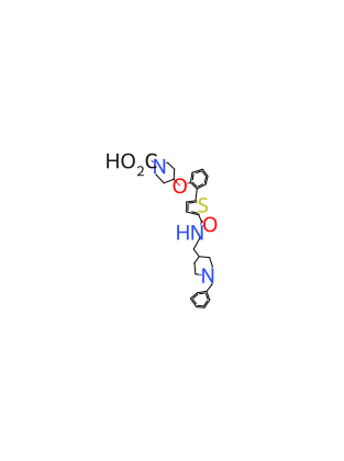 O=C(NCCC1CCN(Cc2ccccc2)CC1)c1ccc(-c2ccccc2OC2CCN(C(=O)O)CC2)s1